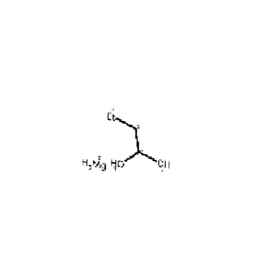 CCCC(O)O.[MgH2]